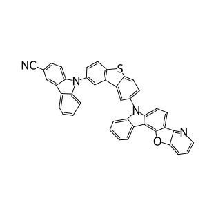 N#Cc1ccc2c(c1)c1ccccc1n2-c1ccc2sc3ccc(-n4c5ccccc5c5c6oc7cccnc7c6ccc54)cc3c2c1